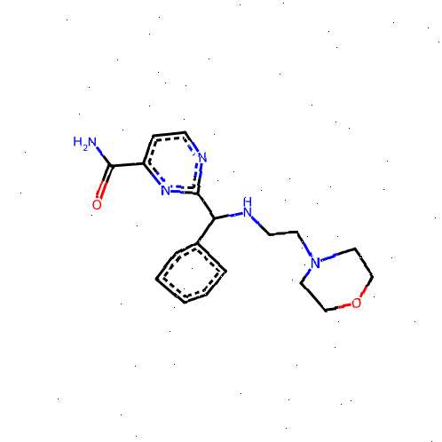 NC(=O)c1ccnc(C(NCCN2CCOCC2)c2ccccc2)n1